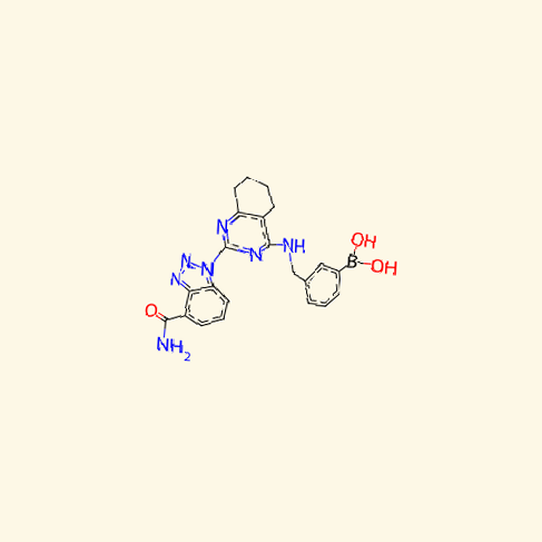 NC(=O)c1cccc2c1nnn2-c1nc2c(c(NCc3cccc(B(O)O)c3)n1)CCCC2